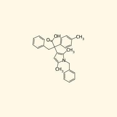 Cc1ccc(C(Cc2ccccc2)(C(=O)O)c2cc(C)n(Cc3ccccc3)c2C)cc1